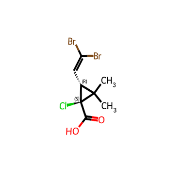 CC1(C)[C@@H](C=C(Br)Br)[C@@]1(Cl)C(=O)O